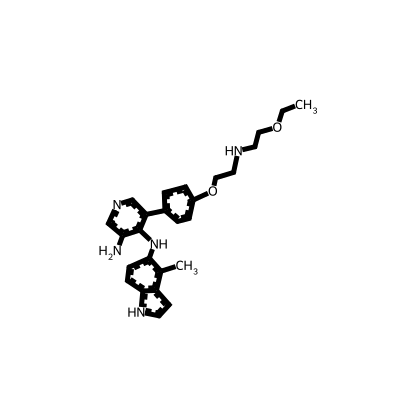 CCOCCNCCOc1ccc(-c2cncc(N)c2Nc2ccc3[nH]ccc3c2C)cc1